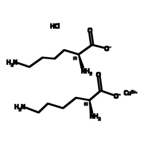 Cl.NCCCC[C@H](N)C(=O)[O-].NCCCC[C@H](N)C(=O)[O-].[Cu+2]